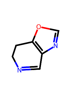 C1=NCCc2ocnc21